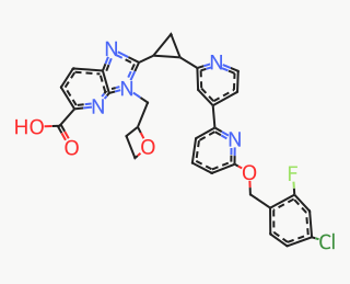 O=C(O)c1ccc2nc(C3CC3c3cc(-c4cccc(OCc5ccc(Cl)cc5F)n4)ccn3)n(CC3CCO3)c2n1